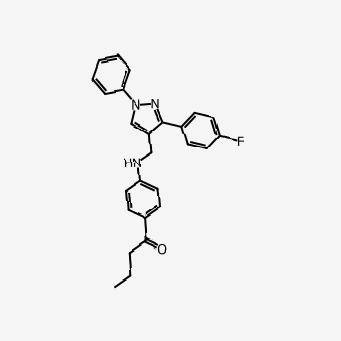 CCCC(=O)c1ccc(NCc2cn(-c3ccccc3)nc2-c2ccc(F)cc2)cc1